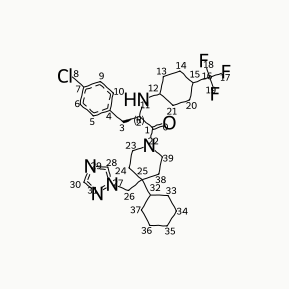 O=C([C@@H](Cc1ccc(Cl)cc1)NC1CCC(C(F)(F)F)CC1)N1CCC(Cn2cncn2)(C2CCCCC2)CC1